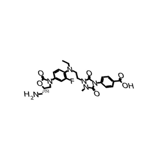 CCN(CCn1c(=O)n(-c2ccc(C(=O)O)cc2)c(=O)n1C)c1ccc(N2C[C@H](CN)OC2=O)cc1F